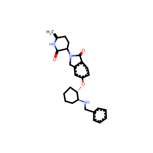 C=C1CCC(N2Cc3cc(O[C@H]4CCCC[C@@H]4NCc4ccccc4)ccc3C2=O)C(=O)N1